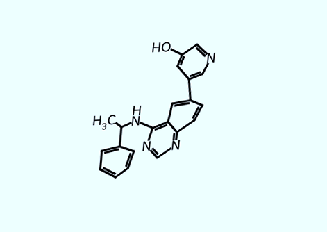 CC(Nc1ncnc2ccc(-c3cncc(O)c3)cc12)c1ccccc1